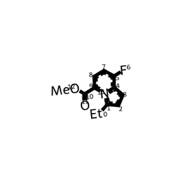 CCc1ccc2c(F)ccc(C(=O)OC)n12